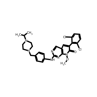 COn1c(=O)c(-c2c(Cl)cccc2Cl)cc2cnc(Nc3ccc(CN4CCN(C(C)C)CC4)cc3)nc21